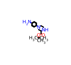 CC(C)(C)OC(=O)C1CN(c2ccc(N)cc2)CCN1